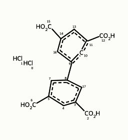 Cl.Cl.O=C(O)c1cc(C(=O)O)cc(-c2cc(C(=O)O)cc(C(=O)O)c2)c1